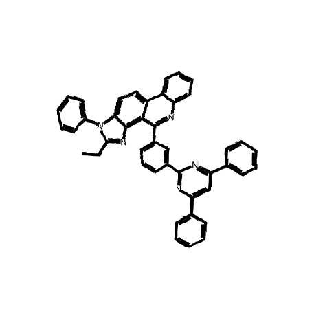 CCc1nc2c3c(-c4cccc(-c5nc(-c6ccccc6)cc(-c6ccccc6)n5)c4)nc4ccccc4c3ccc2n1-c1ccccc1